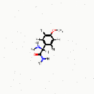 [2H]c1c([2H])c(C([2H])(C(=O)N([2H])[2H])N([2H])[2H])c([2H])c([2H])c1OC(F)(F)F